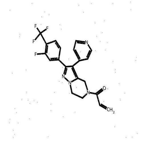 C=CC(=O)N1CCn2nc(-c3ccc(C(F)(F)F)c(F)c3)c(-c3ccncc3)c2C1